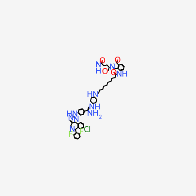 CNC(=O)CCC(C=O)N(C)Cc1c(C=O)cccc1NC(=O)CCCCCCCCCN[C@H]1CC[C@@H](N/C=C(\N)c2ccc(Nc3ncc4c(n3)-c3ccc(Cl)cc3C(c3c(F)cccc3F)=NC4)cc2)CC1